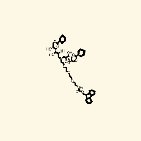 O=C(NCCOCCOCCOCCN(CC(O)C(O)[C@@H]1OC(c2ccccc2)OC[C@H]1O)CC(O)C(O)[C@@H]1OC(c2ccccc2)OC[C@H]1O)OCC1c2ccccc2-c2ccccc21